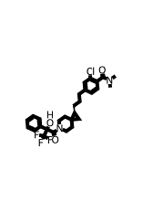 CN(C)C(=O)c1ccc(CCC[C@H]2CC23CCN(C(=O)C(O)(c2ccccc2)C(F)(F)F)CC3)cc1Cl